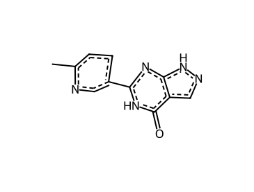 Cc1ccc(-c2nc3[nH]ncc3c(=O)[nH]2)cn1